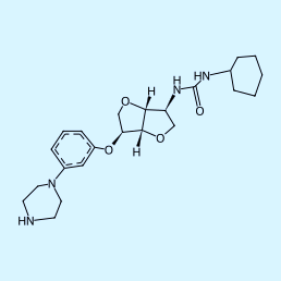 O=C(NC1CCCCC1)N[C@H]1CO[C@H]2[C@@H]1OC[C@@H]2Oc1cccc(N2CCNCC2)c1